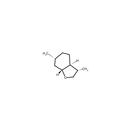 C[C@@H]1CC[C@H]2[C@H](C)CO[C@@H]2C1